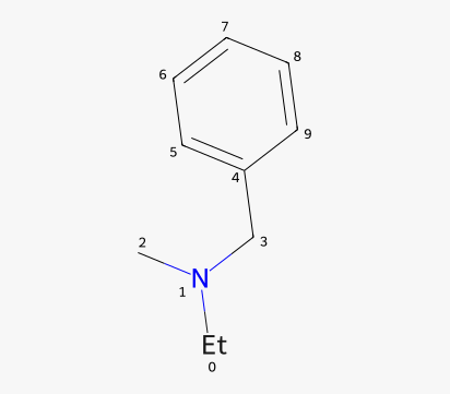 [CH2]CN(C)Cc1ccccc1